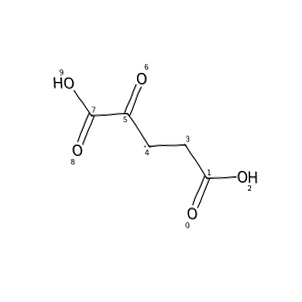 O=C(O)C[CH]C(=O)C(=O)O